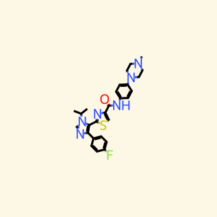 CC(C)n1cnc(-c2ccc(F)cc2)c1-c1nc(C(=O)Nc2ccc(N3CCN(C)CC3)cc2)cs1